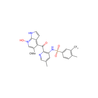 COc1c[n+](O)c2[nH]ccc2c1C(=O)c1ncc(C)cc1NS(=O)(=O)c1ccc(C)c(C(F)(F)F)c1